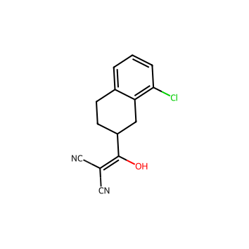 N#CC(C#N)=C(O)C1CCc2cccc(Cl)c2C1